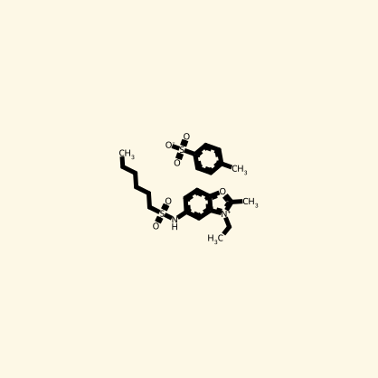 CCCCCCS(=O)(=O)Nc1ccc2oc(C)[n+](CC)c2c1.Cc1ccc(S(=O)(=O)[O-])cc1